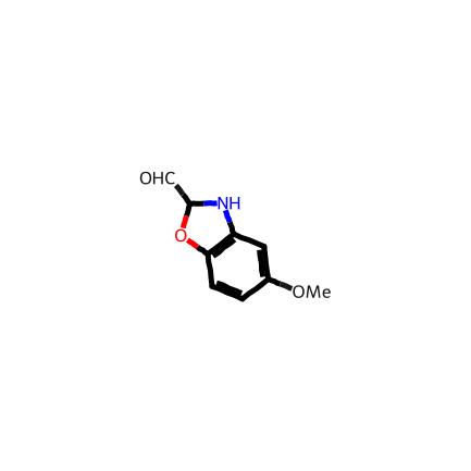 COc1ccc2c(c1)NC(C=O)O2